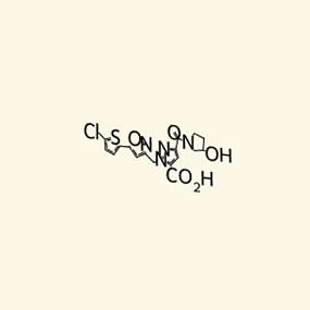 O=C(O)c1cc(C(=O)N2CCC(O)C2)nn1Cc1cc(-c2ccc(Cl)s2)on1